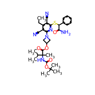 CCc1c(C#N)c(SC(C(N)=O)c2ccccc2)nc(N2CC(OC(=O)C(C)(NC(=O)OC(C)(C)C)C(C)C)C2)c1C#N